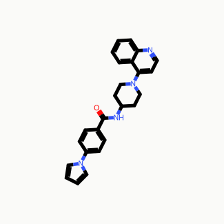 O=C(NC1CCN(c2ccnc3ccccc23)CC1)c1ccc(-n2cccc2)cc1